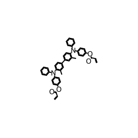 C=CC(=O)Oc1ccc(N(c2ccccc2)c2ccc(-c3ccc(N(c4ccccc4)c4ccc(OC(=O)C=C)cc4)c(C)c3)cc2C)cc1